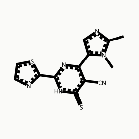 Cc1ncc(-c2nc(-c3nccs3)[nH]c(=S)c2C#N)n1C